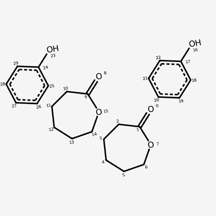 O=C1CCCCCO1.O=C1CCCCCO1.Oc1ccccc1.Oc1ccccc1